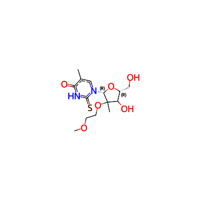 COCCOC1(C)C(O)[C@@H](CO)O[C@H]1n1cc(C)c(=O)[nH]c1=S